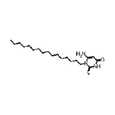 CCCCCCCCCCCCCCCCn1c(N)cc(=O)[nH]c1=S